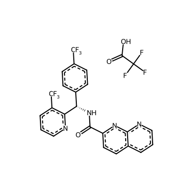 O=C(N[C@@H](c1ccc(C(F)(F)F)cc1)c1ncccc1C(F)(F)F)c1ccc2cccnc2n1.O=C(O)C(F)(F)F